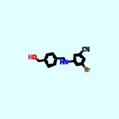 N#Cc1cc(Br)cc(NCc2ccc(CO)cc2)c1